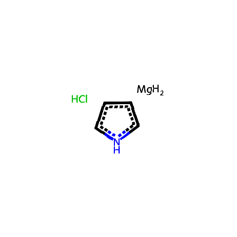 Cl.[MgH2].c1cc[nH]c1